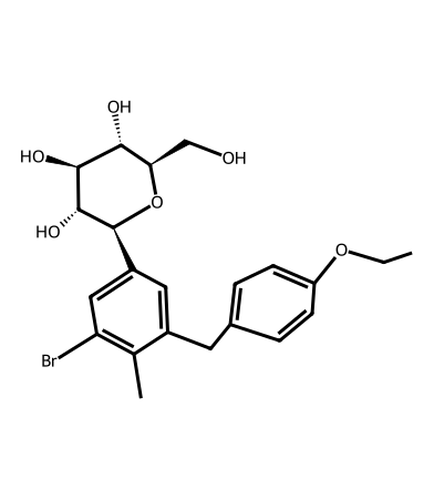 CCOc1ccc(Cc2cc([C@@H]3O[C@H](CO)[C@@H](O)[C@H](O)[C@H]3O)cc(Br)c2C)cc1